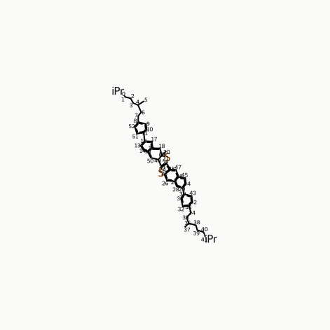 CC(C)CCCC(C)CCc1ccc(-c2ccc3c(c2)=C[C@]2(C)Sc4c(sc5cc6cc(-c7ccc(CCC(C)CCCC(C)C)cc7)ccc6cc45)C2C=3)cc1